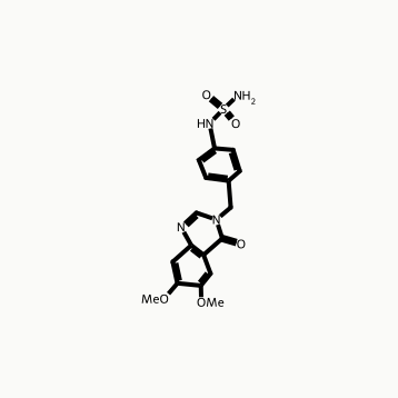 COc1cc2ncn(Cc3ccc(NS(N)(=O)=O)cc3)c(=O)c2cc1OC